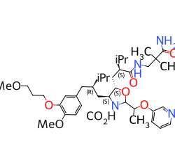 COCCCOc1cc(C[C@H](C[C@H]2[C@H](C[C@H](C(=O)NCC(C)(C)C(N)=O)C(C)C)OC(C(C)Oc3cccnc3)N2C(=O)O)C(C)C)ccc1OC